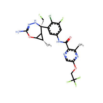 Cc1nc(OCC(F)(F)F)cnc1C(=O)Nc1cc(F)c(Cl)c([C@]2(CF)NN=C(N)OC3C2[C@@H]3C)c1